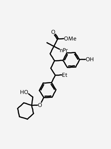 CCCC(C)(CC(CC(CC)c1ccc(OC2(CO)CCCCC2)cc1)c1ccc(O)cc1)C(=O)OC